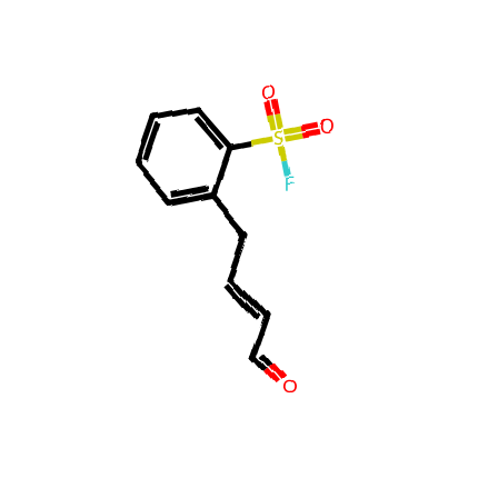 O=CC=CCc1ccccc1S(=O)(=O)F